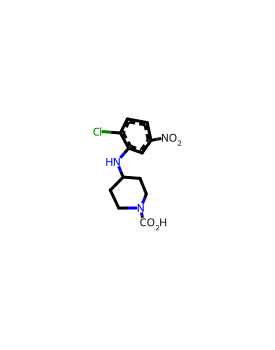 O=C(O)N1CCC(Nc2cc([N+](=O)[O-])ccc2Cl)CC1